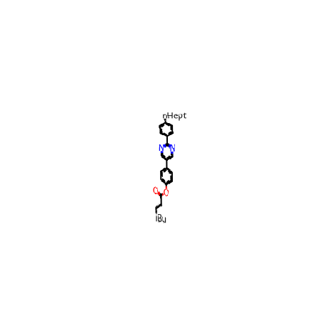 CCCCCCCc1ccc(-c2ncc(-c3ccc(OC(=O)CCC(C)CC)cc3)cn2)cc1